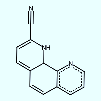 N#CC1=CC=C2C=Cc3cccnc3C2N1